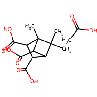 CC(=O)O.CC1(C)C2C(C(=O)O)C(C(=O)O)C1(C)C2C(=O)O